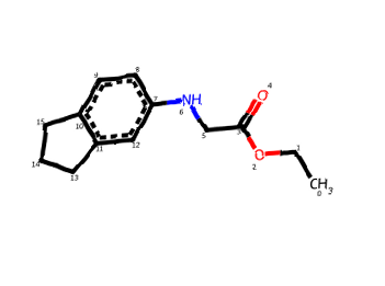 CCOC(=O)CNc1ccc2c(c1)CCC2